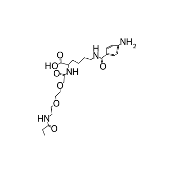 CCC(=O)NCCOCCOCC(=O)NC(CCCCNC(=O)c1ccc(N)cc1)C(=O)O